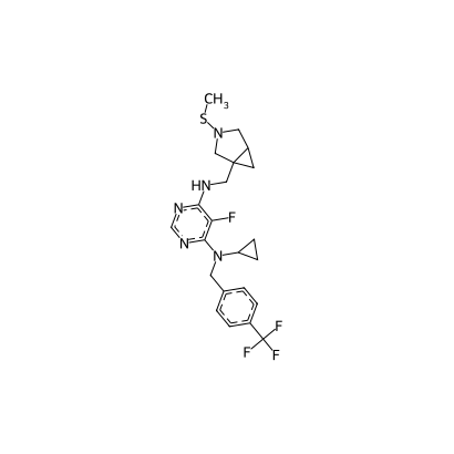 CSN1CC2CC2(CNc2ncnc(N(Cc3ccc(C(F)(F)F)cc3)C3CC3)c2F)C1